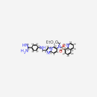 CCOC(=O)CN(c1ccc2nc(CNc3ccc(C(=N)N)cc3)cn2c1)S(=O)(=O)c1cccc2cccnc12